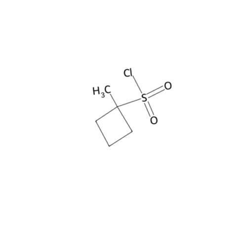 CC1(S(=O)(=O)Cl)CCC1